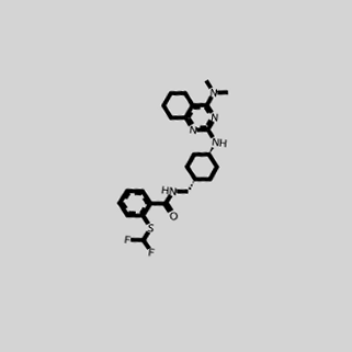 CN(C)c1nc(N[C@H]2CC[C@@H](CNC(=O)c3ccccc3SC(F)F)CC2)nc2c1CCCC2